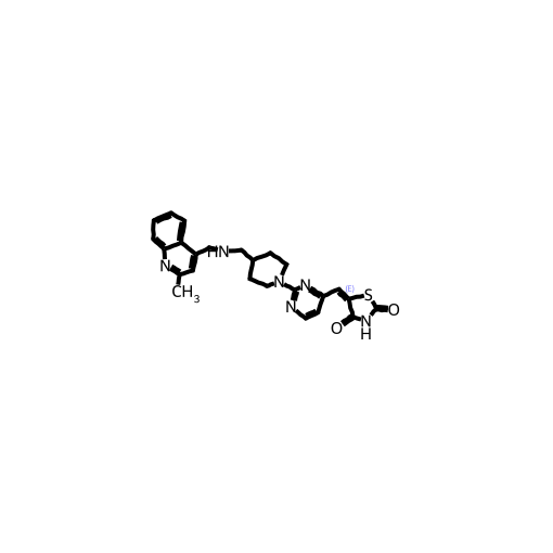 Cc1cc(CNCC2CCN(c3nccc(/C=C4/SC(=O)NC4=O)n3)CC2)c2ccccc2n1